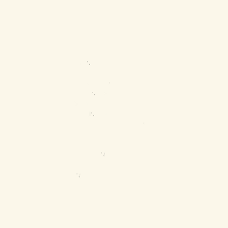 N#Cc1cccc(-c2cccc(Cl)c2-c2ccc3c(=O)n(-c4cncc5ccccc45)c(=O)[nH]c3c2)n1